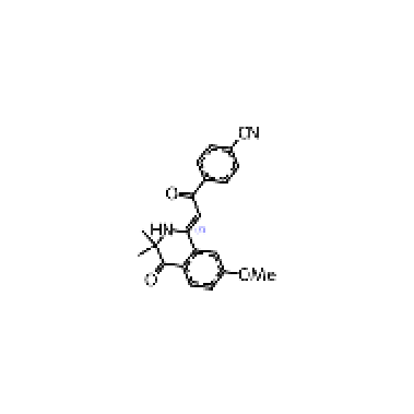 COc1ccc2c(c1)/C(=C/C(=O)c1ccc(C#N)cc1)NC(C)(C)C2=O